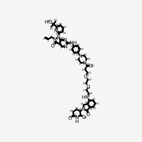 C=CCn1c(=O)c2cnc(Nc3ccc(N4CCN(C(=O)CCOCCOCCNc5cccc6c5CN(C5CCC(=O)NC5=O)C6=O)CC4)cc3)nc2n1-c1cccc(C(C)(C)O)n1